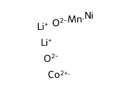 [Co+2].[Li+].[Li+].[Mn].[Ni].[O-2].[O-2]